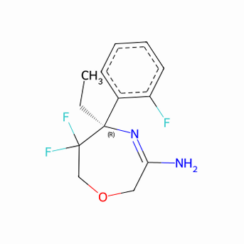 CC[C@]1(c2ccccc2F)N=C(N)COCC1(F)F